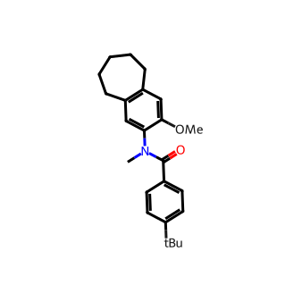 COc1cc2c(cc1N(C)C(=O)c1ccc(C(C)(C)C)cc1)CCCCC2